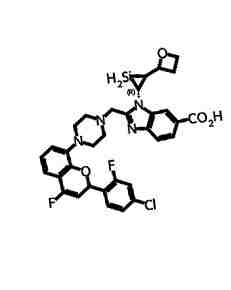 O=C(O)c1ccc2nc(CN3CCN(c4cccc5c4OC(c4ccc(Cl)cc4F)C=C5F)CC3)n([C@@H]3[SiH2]C3C3CCO3)c2c1